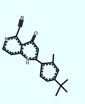 Cc1cc(C(C)(C)C)ccc1-c1cc(=O)c2c(C#N)nccc2[nH]1